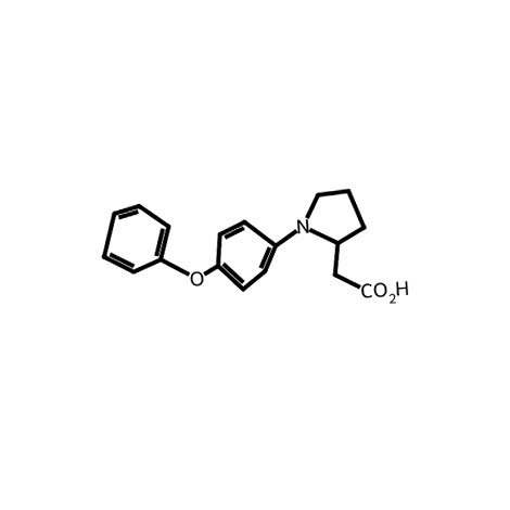 O=C(O)CC1CCCN1c1ccc(Oc2ccccc2)cc1